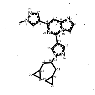 Cn1cc(-c2cc3nccn3c(-c3cnn(C(CC4CC4)CC4CC4)c3)n2)cn1